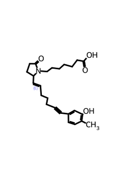 Cc1ccc(C#CCCC/C=C/C2CCC(=O)N2CCCCCCC(=O)O)cc1O